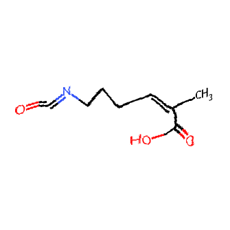 CC(=CCCCN=C=O)C(=O)O